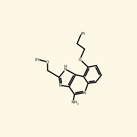 CCOCc1nc2c(N)nc3cccc(OCCC(C)C)c3c2[nH]1